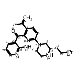 C=C(F)c1ccc(N2CCN[C@@H](CCC(C)C)C2)nc1C(=O)c1cccnc1N